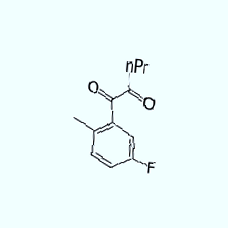 CCCC(=O)C(=O)c1cc(F)ccc1C